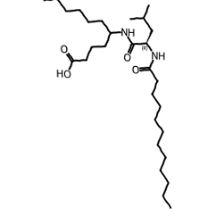 CCCCCCCCCCCC(=O)N[C@H](CC(C)C)C(=O)NC(CCCCCC)CCCC(=O)O